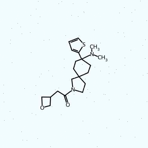 CN(C)C1(c2cccs2)CCC2(CCN(C(=O)CC3COC3)C2)CC1